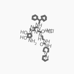 Cl.Cl.N[C@H]1C[C@@H](n2cnc3c(NCC(c4ccccc4)c4ccccc4)nc(C(=O)NCCNC(=O)NC4CCN(c5ccccn5)CC4)nc32)[C@H](O)[C@@H]1O